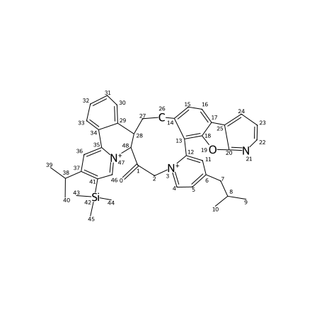 C=C1C[n+]2ccc(CC(C)C)cc2-c2c(ccc3c2oc2ncccc23)CCC2c3ccccc3-c3cc(C(C)C)c([Si](C)(C)C)c[n+]3C12